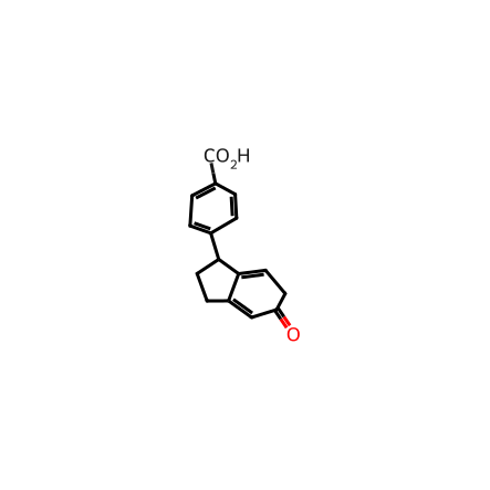 O=C1C=C2CCC(c3ccc(C(=O)O)cc3)C2=CC1